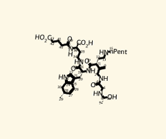 C=C(CNC(=O)CN[C@@H](C)O)[C@@H](CCNCCCCC)C(=O)N[C@H](Cc1c[nH]c2c1C=C[C@H](C)C2)C(=O)NCC[C@@H](NC(=O)CCCC(=O)O)C(=O)O